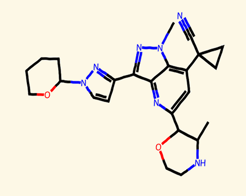 CC1NCCOC1c1cc(C2(C#N)CC2)c2c(n1)c(-c1ccn(C3CCCCO3)n1)nn2C